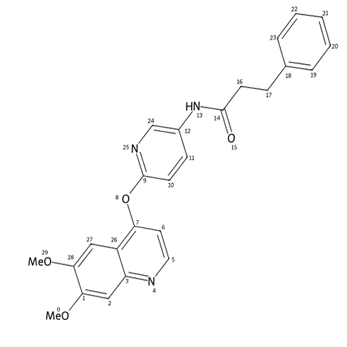 COc1cc2nccc(Oc3ccc(NC(=O)CCc4ccccc4)cn3)c2cc1OC